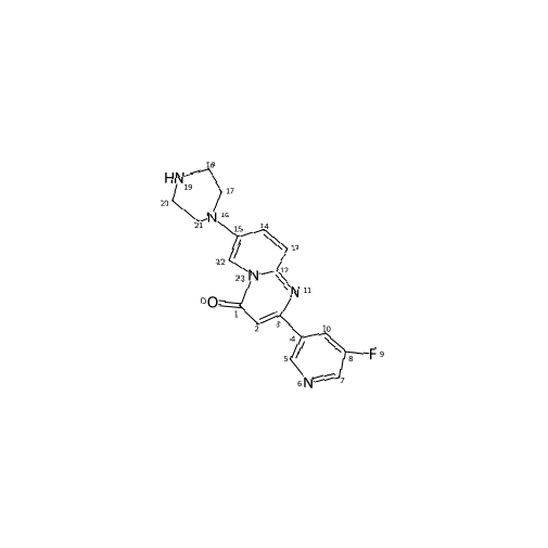 O=c1cc(-c2cncc(F)c2)nc2ccc(N3CCNCC3)cn12